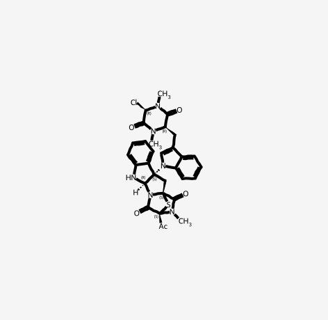 CC(=O)[C@]12S[C@@]3(C[C@]4(n5cc(C[C@@H]6C(=O)N(C)[C@H](Cl)C(=O)N6C)c6ccccc65)c5ccccc5N[C@@H]4N3C1=O)C(=O)N2C